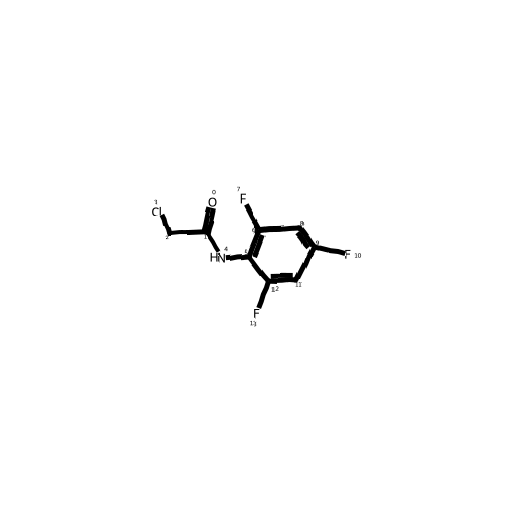 O=C(CCl)Nc1c(F)cc(F)cc1F